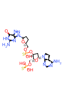 Nc1nc2c(nnn2[C@H]2CC[C@@H](COP(O)(=S)O[C@H]3C[C@H](n4ccc5c(N)ncnc54)O[C@@H]3COP(O)(O)=S)O2)c(=O)[nH]1